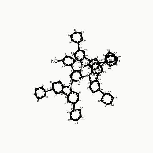 N#Cc1cccc(-c2cc(-n3c4ccc(-c5ccccc5)cc4c4cc(-c5ccccc5)ccc43)nc(-n3c4ccc(-c5ccccc5)cc4c4cc(-c5ccccc5)ccc43)c2-n2c3ccc(-c4ccccc4)cc3c3cc(-c4ccccc4)ccc32)c1